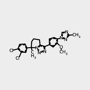 COc1cc(-c2nnn3c2CCCC3(C)c2ccc(Cl)c(Cl)c2)ccc1-n1cnc(C)n1